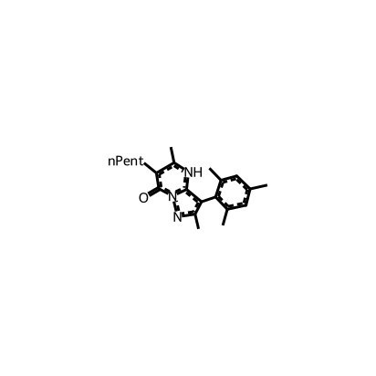 CCCCCc1c(C)[nH]c2c(-c3c(C)cc(C)cc3C)c(C)nn2c1=O